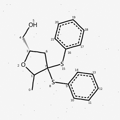 CC1O[C@H](CO)CC1(Sc1ccccc1)Sc1ccccc1